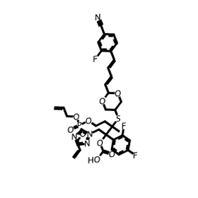 C=CCOP(=O)(OCC=C)OCCC(C)(SC1COC(C=CC=Cc2ccc(C#N)cc2F)OC1)C(Cn1cncn1)(OC(=O)O)c1ccc(F)cc1F